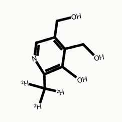 [2H]C([2H])([2H])c1ncc(CO)c(CO)c1O